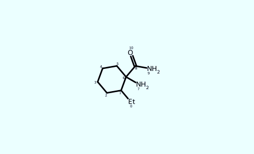 CCC1CCCCC1(N)C(N)=O